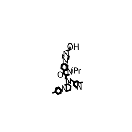 Cc1ccc(N2CCC[C@H](N(Cc3ccnc(C)c3)Cc3cn(C(C)C)c4cc(N5CCN(CCO)CC5)ccc4c3=O)C2)cc1